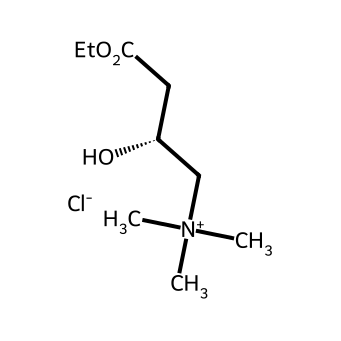 CCOC(=O)C[C@@H](O)C[N+](C)(C)C.[Cl-]